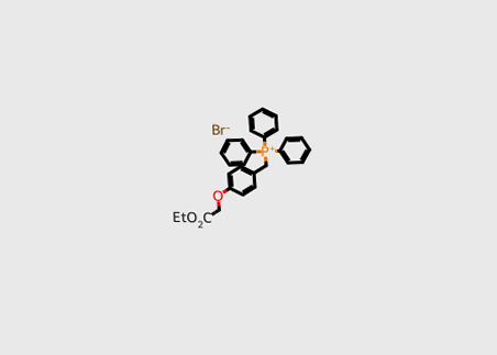 CCOC(=O)COc1ccc(C[P+](c2ccccc2)(c2ccccc2)c2ccccc2)cc1.[Br-]